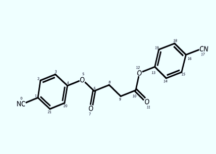 N#Cc1ccc(OC(=O)CCC(=O)Oc2ccc(C#N)cc2)cc1